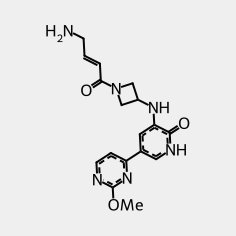 COc1nccc(-c2c[nH]c(=O)c(NC3CN(C(=O)C=CCN)C3)c2)n1